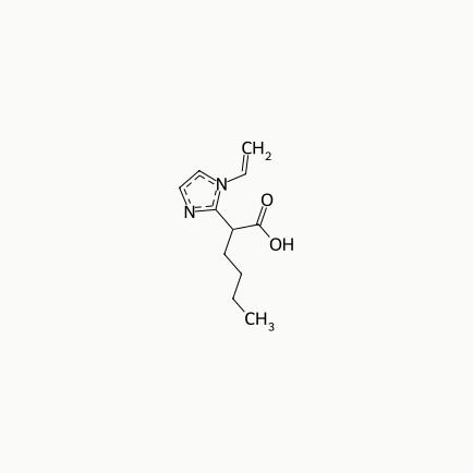 C=Cn1ccnc1C(CCCC)C(=O)O